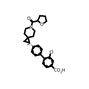 O=C(O)c1ccc(-c2ccc([C@@H]3CC34CCN(C(=O)C3CCCO3)CC4)cc2)c(Cl)c1